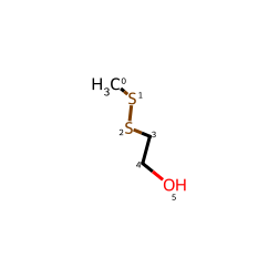 CSSCCO